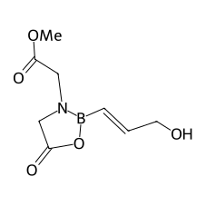 COC(=O)CN1CC(=O)OB1/C=C/CO